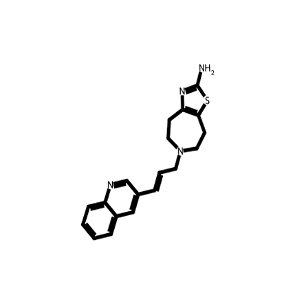 Nc1nc2c(s1)CCN(C/C=C/c1cnc3ccccc3c1)CC2